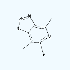 Cc1nc(F)c(C)c2snnc12